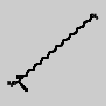 CCCCCCCCCCCCCCCCCCCCNC(C)C#N